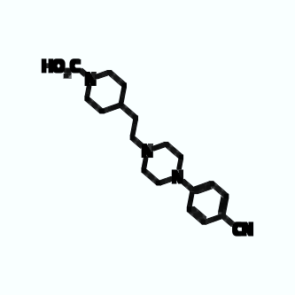 N#Cc1ccc(N2CCN(CCC3CCN(C(=O)O)CC3)CC2)cc1